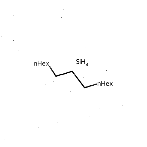 CCCCCCCCCCCCCCC.[SiH4]